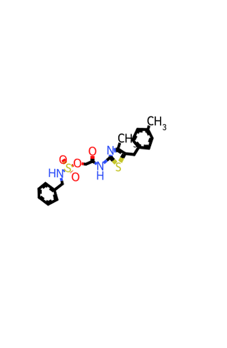 Cc1ccc(Cc2sc(NC(=O)COS(=O)(=O)NCc3ccccc3)nc2C)cc1